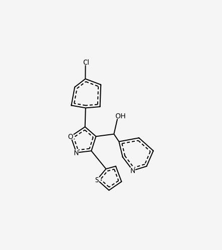 OC(c1cccnc1)c1c(-c2cccs2)noc1-c1ccc(Cl)cc1